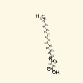 CCCCCCCCCCCCCC=CC[N]C(=O)CCC(=O)O